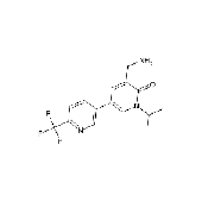 CC(C)n1cc(-c2ccc(C(F)(F)F)nc2)cc(CN)c1=O